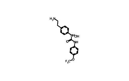 Cl.NCCc1ccc(NC(=O)Nc2ccc(OC(F)(F)F)cc2)cc1